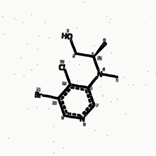 C[C@H](CO)N(C)c1cncc(Br)c1Cl